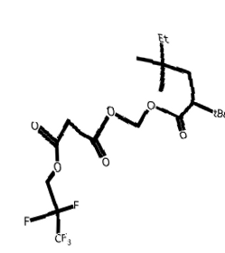 CCC(C)(C)CC(C(=O)OCOC(=O)CC(=O)OCC(F)(F)C(F)(F)F)C(C)(C)C